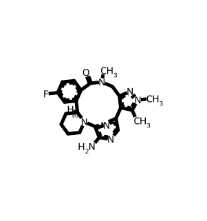 Cc1c2c(nn1C)CN(C)C(=O)c1ccc(F)cc1[C@H]1CCCCN1c1nc-2cnc1N